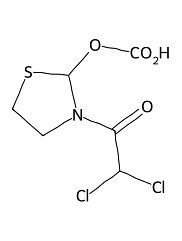 O=C(O)OC1SCCN1C(=O)C(Cl)Cl